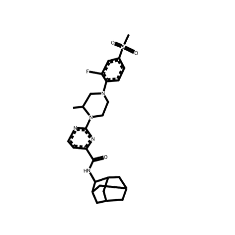 CC1CN(c2ccc(S(C)(=O)=O)cc2F)CCN1c1nccc(C(=O)NC2C3CC4CC(C3)CC2C4)n1